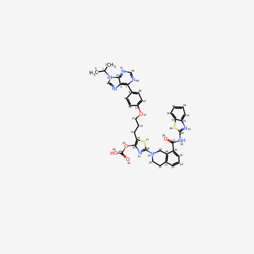 CC(C)n1cnc2c(-c3ccc(OCCCc4sc(N5CCc6cccc(C(=O)Nc7nc8ccccc8s7)c6C5)nc4OC(=O)O)cc3)ncnc21